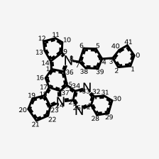 c1ccc(-c2ccc(-n3c4ccccc4c4cc5c6ccccc6n6c7nc8ccccc8nc7c(c43)c56)cc2)cc1